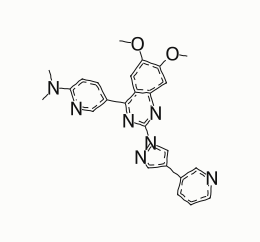 COc1cc2nc(-n3cc(-c4cccnc4)cn3)nc(-c3ccc(N(C)C)nc3)c2cc1OC